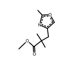 COC(=O)C(C)(C)Cc1coc(C)n1